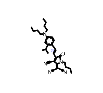 CCCCN1C(=O)C(/C=C/c2ccc(N(CCCC)CCCC)cc2C(C)C)=C(C#N)C1=C(C#N)C#N